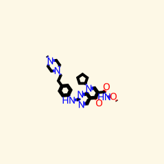 CONC(=O)c1cn(C2CCCC2)c2nc(Nc3ccc(CCN4CCN(C)CC4)cc3)ncc2c1=O